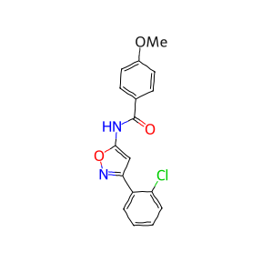 COc1ccc(C(=O)Nc2cc(-c3ccccc3Cl)no2)cc1